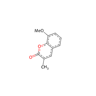 COc1cccc2cc(C)c(=O)oc12